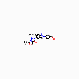 COc1cc2nn(C3CCC(CO)CC3)cc2cc1NC(=O)c1coc(C)n1